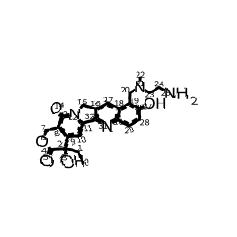 CCC1(O)C(=O)OCc2c1cc1n(c2=O)Cc2cc3c(CN(C)CCN)c(O)ccc3nc2-1